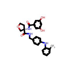 O=C(N[C@@]1(C(=O)NCc2ccc(Nc3ccccc3C(F)(F)F)cc2)CCOC1)c1cc(O)cc(O)c1